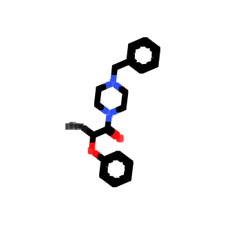 CCCCCCC(Oc1ccccc1)C(=O)N1CCN(Cc2ccccc2)CC1